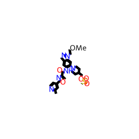 COCCn1ncc2cc(NC(=O)c3coc(-c4ccnc(C)c4)n3)c(N3CCC(COS(C)(=O)=O)CC3)cc21